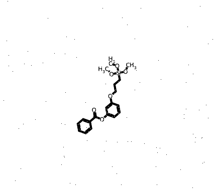 CO[Si](CCCOc1cccc(OC(=O)c2ccccc2)c1)(OC)OC